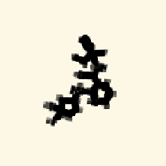 C#CC(C)(CC)NC(=O)c1cccnc1NC1CCC(F)(F)C1